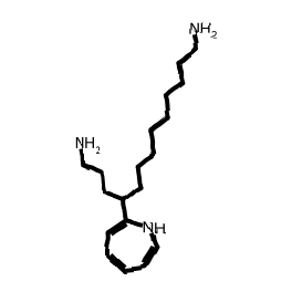 NCCCCCCCCCC(CCCN)C1=CC=CC=CN1